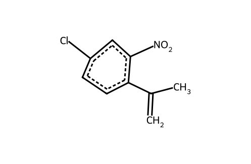 C=C(C)c1ccc(Cl)cc1[N+](=O)[O-]